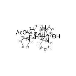 CC(=O)OC1CC2CC[C@H]3[C@@H]4CCC(O)[C@@]4(CN4CCCCCC4)CC[C@@H]3[C@@]2(C)CC1N1CCCCC1